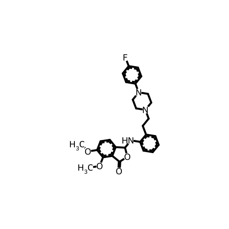 COc1ccc2c(c1OC)C(=O)OC2Nc1ccccc1CCN1CCN(c2ccc(F)cc2)CC1